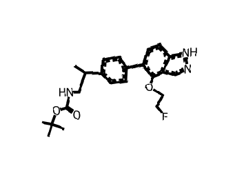 CC(CNC(=O)OC(C)(C)C)c1ccc(-c2ccc3[nH]ncc3c2OCCF)cc1